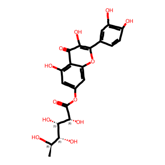 C[C@@H](O)[C@@H](O)[C@H](O)[C@@H](O)C(=O)Oc1cc(O)c2c(=O)c(O)c(-c3ccc(O)c(O)c3)oc2c1